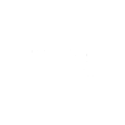 COCCCC(CC(=O)O)C(C)=O